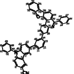 N#Cc1ccc2c(c1)c1cc(-c3cccc(-c4ccc5c(c4)nc(-c4ccccc4)c4ccc6c7ccccc7oc6c45)c3)ccc1n2-c1ccccc1